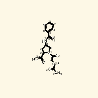 CC(=O)NCC(=O)N1CC(NC(=O)c2ccccc2)CC1C(=O)O